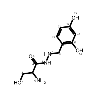 NC(CO)C(=O)NNCc1ccc(O)cc1O